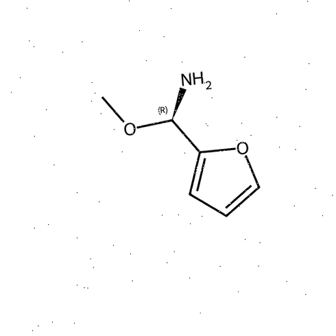 CO[C@@H](N)c1ccco1